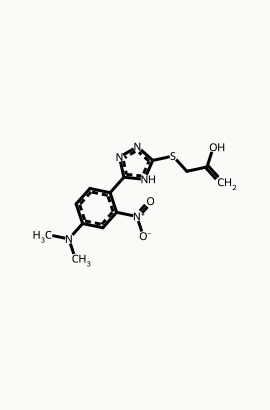 C=C(O)CSc1nnc(-c2ccc(N(C)C)cc2[N+](=O)[O-])[nH]1